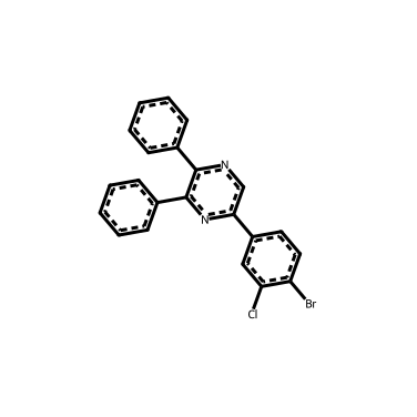 Clc1cc(-c2cnc(-c3ccccc3)c(-c3ccccc3)n2)ccc1Br